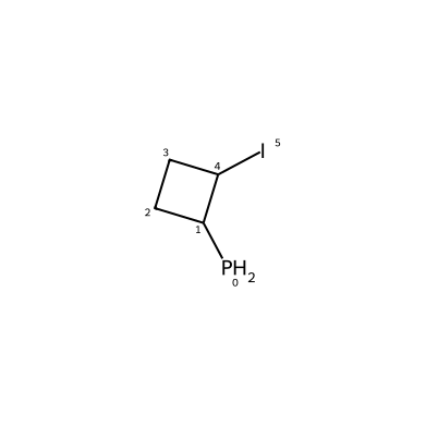 PC1CCC1I